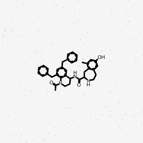 CC(=O)N1CCC(NC(=O)C2Cc3c(C)cc(O)cc3CCN2)c2cc(Cc3ccccc3)cc(Cc3ccccc3)c21